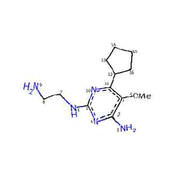 COc1c(N)nc(NCCN)nc1C1CCCC1